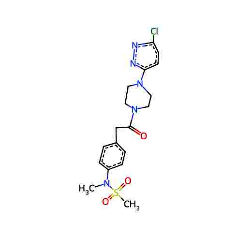 CN(c1ccc(CC(=O)N2CCN(c3ccc(Cl)nn3)CC2)cc1)S(C)(=O)=O